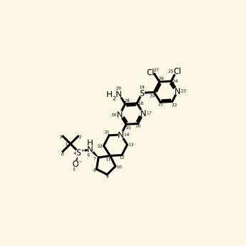 CC(C)(C)[S@@+]([O-])N[C@@H]1CCCC12CCN(c1cnc(Sc3ccnc(Cl)c3Cl)c(N)n1)CC2